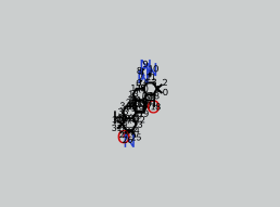 CC1(C)CC[C@]2(Cn3cnnc3)CC[C@]3(C)[C@H](C(=O)C=C4[C@@]5(C)Cc6cnoc6C(C)(C)[C@@H]5CC[C@]43C)[C@@H]2C1